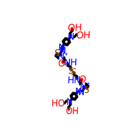 O=C(C[n+]1ccsc1/N=N/c1ccc(N(CCO)CCO)cc1)NCCSSCCNC(=O)C[n+]1ccsc1/N=N/c1ccc(N(CCO)CCO)cc1